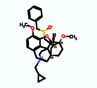 COc1ccc2c3c1O[C@@H]1C34CCN(CC3CC3)C(C2)[C@]42CC[C@@]1(OC)[C@@H](C[S+]([O-])Cc1ccccc1)C2